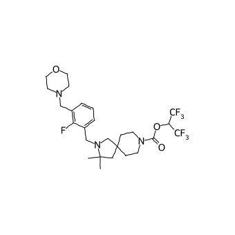 CC1(C)CC2(CCN(C(=O)OC(C(F)(F)F)C(F)(F)F)CC2)CN1Cc1cccc(CN2CCOCC2)c1F